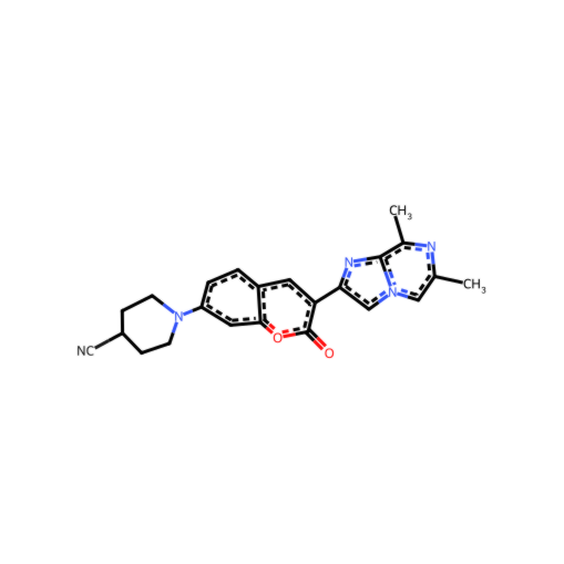 Cc1cn2cc(-c3cc4ccc(N5CCC(C#N)CC5)cc4oc3=O)nc2c(C)n1